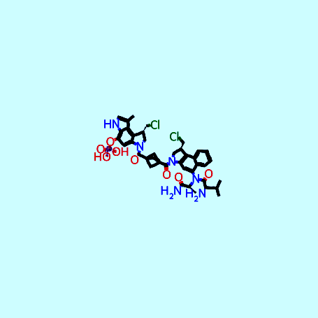 Cc1c[nH]c2c(OP(=O)(O)O)cc3c(c12)[C@H](CCl)CN3C(=O)C12CC(C(=O)N3C[C@@H](CCl)c4c3cc(N(C(=O)[C@@H](N)C(C)C)[C@@H](C)C(N)=O)c3ccccc43)(C1)C2